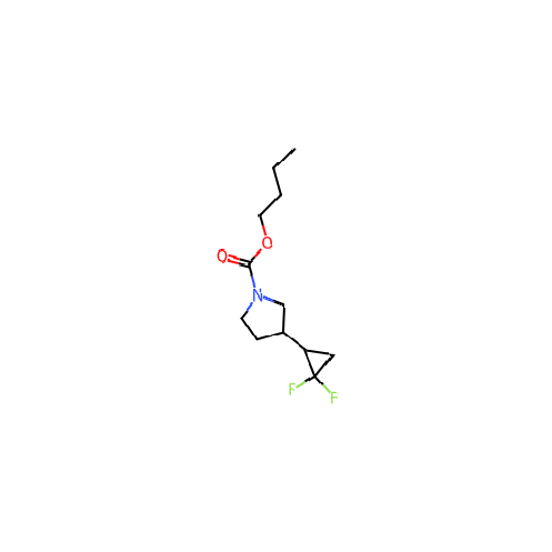 CCCCOC(=O)N1CCC(C2CC2(F)F)C1